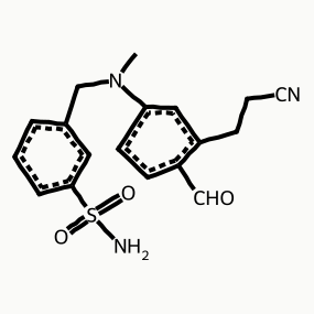 CN(Cc1cccc(S(N)(=O)=O)c1)c1ccc(C=O)c(CCC#N)c1